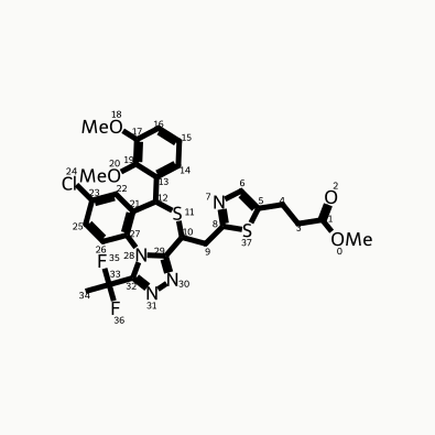 COC(=O)CCc1cnc(CC2SC(c3cccc(OC)c3OC)c3cc(Cl)ccc3-n3c2nnc3C(C)(F)F)s1